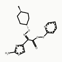 C[C@H]1CC[C@H](ON=C(C(=O)OSc2ccccn2)c2csc(N)n2)CC1